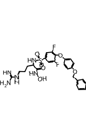 N=C(N)NCCCC(NS(=O)(=O)c1cc(F)c(Oc2ccc(OCc3ccccc3)cc2)c(F)c1)C(=O)NO